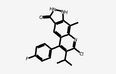 Cc1c2nc(Cl)c(C(C)C)c(-c3ccc(F)cc3)c2cc2c(=O)[nH][nH]c12